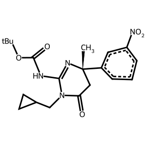 CC(C)(C)OC(=O)NC1=N[C@](C)(c2cccc([N+](=O)[O-])c2)CC(=O)N1CC1CC1